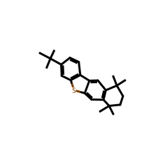 CC(C)(C)c1ccc2c(c1)sc1cc3c(cc12)C(C)(C)CCC3(C)C